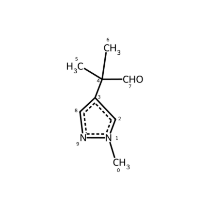 Cn1cc(C(C)(C)C=O)cn1